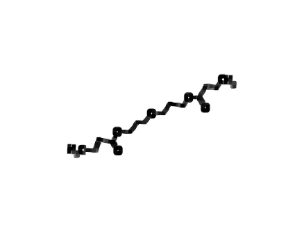 CC=CC(=O)OCCCOCCCOC(=O)C=CC